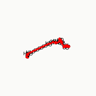 COc1cc2c(cc1OCCCOc1cc3c(cc1OC)C(=O)N1C=C(C)C[C@H]1[C@H](O)N3C(=O)OCc1ccc(NC(=O)[C@H](C)NC(=O)CNC(=O)CCOCCOCCOCCOCCOCCOCCOCCOCCNC(=O)CCNC(=O)CC(C)C3CCCCCCC3)cc1)N=CC1CC(C)=CN1C2=O